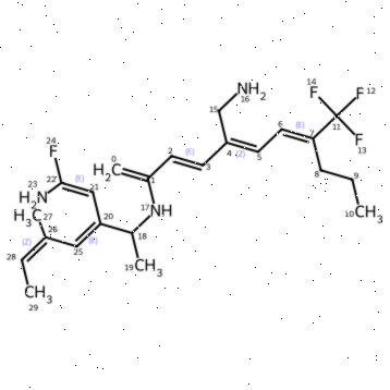 C=C(/C=C/C(=C/C=C(\CCC)C(F)(F)F)CN)NC(C)C(/C=C(\N)F)=C/C(C)=C\C